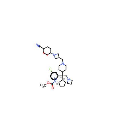 COC(=O)N[C@H]1CCC[C@@H]1[C@](CN1CCC1)(c1cccc(F)c1)C1CCN(CC2CN(C34CCC(C#N)(CC3)CC4)C2)CC1